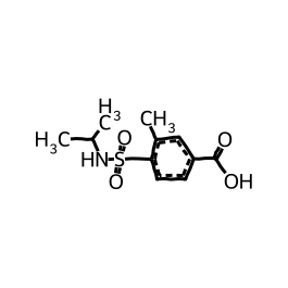 Cc1cc(C(=O)O)ccc1S(=O)(=O)NC(C)C